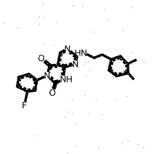 Cc1ccc(CCNc2ncc3c(=O)n(-c4cccc(F)c4)c(=O)[nH]c3n2)cc1C